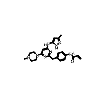 C=CC(=O)Nc1ccc(Cc2nc(Nc3cc(C)n[nH]3)cc(N3CCN(C)CC3)n2)cc1